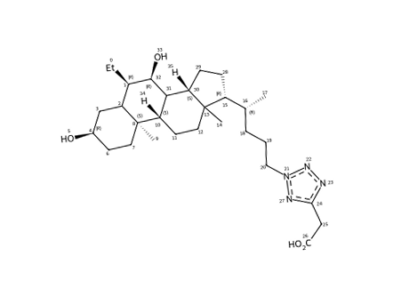 CC[C@@H]1C2C[C@H](O)CC[C@]2(C)[C@H]2CCC3(C)[C@@H]([C@H](C)CCCn4nnc(CC(=O)O)n4)CC[C@H]3C2[C@@H]1O